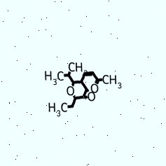 CCC1OC(C(C)C)C(/C=C\C(C)=O)C2OC12